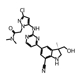 CN(C)C(=O)Cn1nc(Cl)cc1Nc1nccc(-c2cc(C#N)c3c(c2)[C@@](C)(CO)CN3)n1